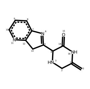 C=C1CNC(C2=Nc3cccnc3C2)C(=O)N1